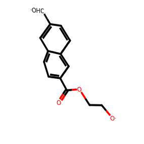 [O]CCOC(=O)c1ccc2cc([C]=O)ccc2c1